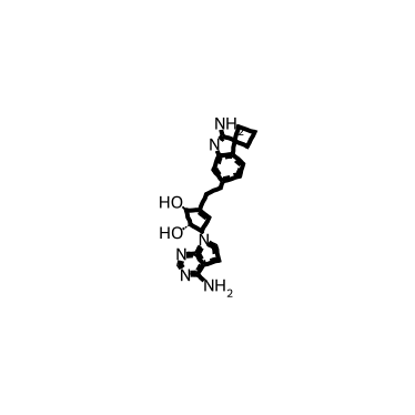 NC1=Nc2cc(CCC3=C[C@@H](n4ccc5c(N)ncnc54)[C@H](O)[C@@H]3O)ccc2C12CCC2